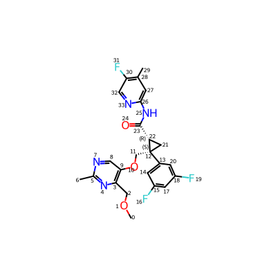 COCc1nc(C)ncc1OC[C@@]1(c2cc(F)cc(F)c2)C[C@H]1C(=O)Nc1cc(C)c(F)cn1